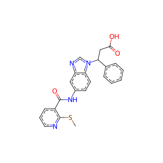 CSc1ncccc1C(=O)Nc1ccc2c(c1)ncn2C(CC(=O)O)c1ccccc1